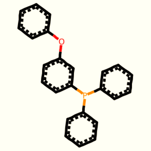 c1ccc(Oc2cccc(P(c3ccccc3)c3ccccc3)c2)cc1